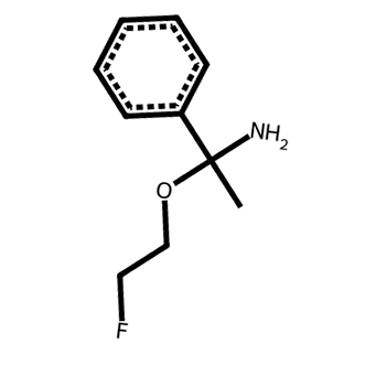 CC(N)(OCCF)c1ccccc1